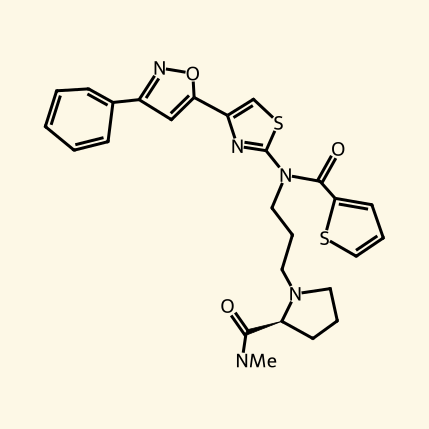 CNC(=O)[C@@H]1CCCN1CCCN(C(=O)c1cccs1)c1nc(-c2cc(-c3ccccc3)no2)cs1